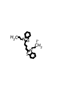 C=CCN1C(=CC=Cc2sc3ccccc3[n+]2CC=C)Sc2ccccc21.[I-]